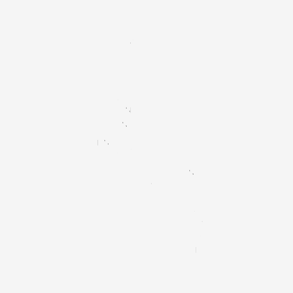 FC(F)(F)Oc1ccc2c(Oc3ccc(Nc4nnc(-c5ccc(Cl)cc5)c5ccccc45)cc3)ccnc2c1